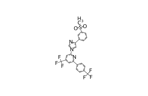 CS(=O)(=O)c1cccc(-c2cn(-c3cc(C(F)(F)F)cc(-c4ccc(C(F)(F)F)cc4)n3)cn2)c1